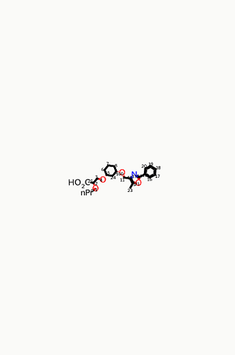 CCCOC(CO[C@@H]1CCC[C@H](OCc2nc(-c3ccccc3)oc2C)C1)C(=O)O